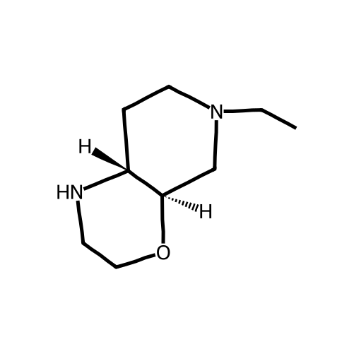 CCN1CC[C@H]2NCCO[C@@H]2C1